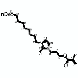 C=C(C)C(=O)OCCC[n+]1ccn(CCCCCCCCCCCCCCCCCC)c1C